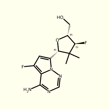 CC1(C)[C@H](F)[C@@H](CO)O[C@H]1c1cc(F)c2c(N)ncnn12